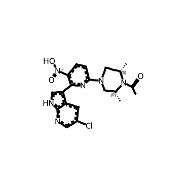 CC(=O)N1[C@H](C)CN(c2ccc([N+](=O)O)c(-c3c[nH]c4ncc(Cl)cc34)n2)C[C@@H]1C